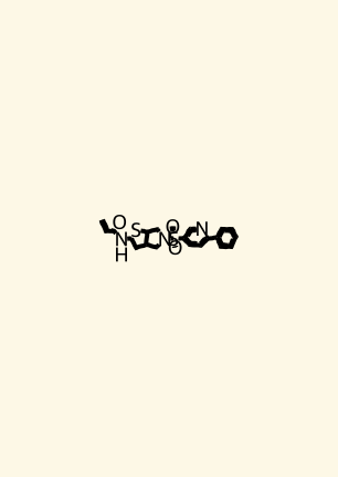 C=CC(=O)NC1CC2CN(S(=O)(=O)c3ccc(-c4ccccc4)nc3)CC2S1